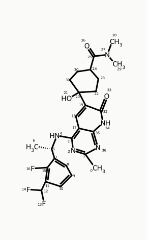 Cc1nc(N[C@@H](C)c2cccc(C(F)F)c2F)c2cc(C3(O)CCC(C(=O)N(C)C)CC3)c(=O)[nH]c2n1